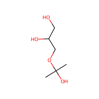 CC(C)(O)OCC(O)CO